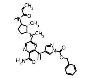 C=CC(=O)NC1CC[C@@H](N(C)c2cnc(C(N)=O)c(Nc3cnn(C(=O)OCc4ccccc4)c3)n2)[C@H]1C